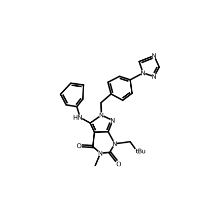 Cn1c(=O)c2c(Nc3ccccc3)n(Cc3ccc(-n4cncn4)cc3)nc2n(CC(C)(C)C)c1=O